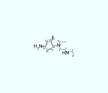 CCNCCN(CC)c1ccc(N)cc1F